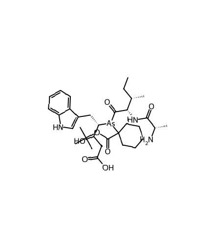 CC[C@H](C)[C@H](NC(=O)[C@H](C)N)C(=O)[As]([C@@H](Cc1c[nH]c2ccccc12)C(O)CC(=O)O)C1(C(=O)OC(C)(C)C)CCCCC1